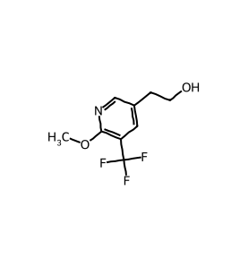 COc1ncc(CCO)cc1C(F)(F)F